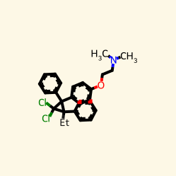 CCC1(c2ccccc2)C(Cl)(Cl)C1(c1ccccc1)c1ccc(OCCN(C)C)cc1